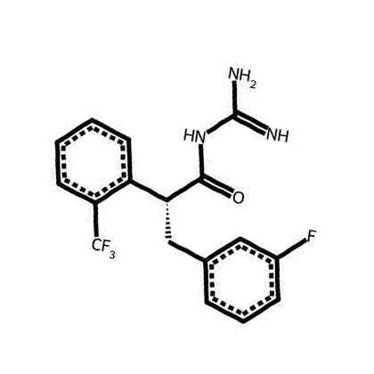 N=C(N)NC(=O)[C@H](Cc1cccc(F)c1)c1ccccc1C(F)(F)F